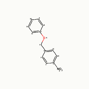 O=[N+]([O-])c1ccc(COc2[c]cccc2)cc1